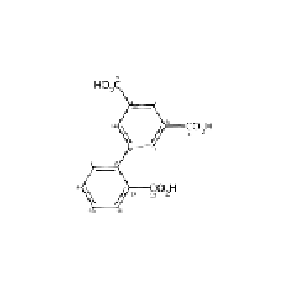 O=C(O)c1cc(C(=O)O)cc(-c2ccccc2C(=O)O)c1